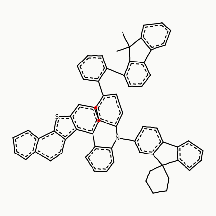 CC1(C)c2ccccc2-c2cccc(-c3ccccc3-c3ccc(N(c4ccc5c(c4)C4(CCCCC4)c4ccccc4-5)c4ccccc4-c4cccc5sc6c7ccccc7ccc6c45)cc3)c21